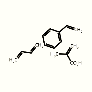 C=C(C)C(=O)O.C=CC=C.C=Cc1ccccc1